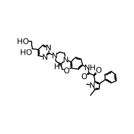 Cc1cc(-c2ccccc2)c(C(=O)C(=O)Nc2ccc3c(c2)OC[C@H]2CN(c4ncc(C(O)CO)cn4)CCN32)n1C